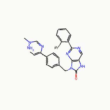 C/C=C(\N=C/N(C)N)c1ccc(Cn2c(=O)[nH]c3cnc(-c4ccccc4C(C)C)nc32)cc1